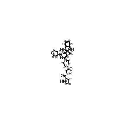 O=C(NCC(=O)N1CCN(c2cc(C3(C(F)F)Nc4ccccc4N3)nc(N3CCOCC3)n2)CC1)[C@@H]1CCCN1